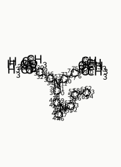 CC1(C)OB(c2ccc(-c3ccc(N(c4ccc(-c5ccc(B6OC(C)(C)C(C)(C)O6)cc5)cc4)c4ccc(-c5ccc6c7ccccc7n(-c7cccc(-c8cccc(-c9ccccc9)c8)c7)c6c5)cc4)cc3)cc2)OC1(C)C